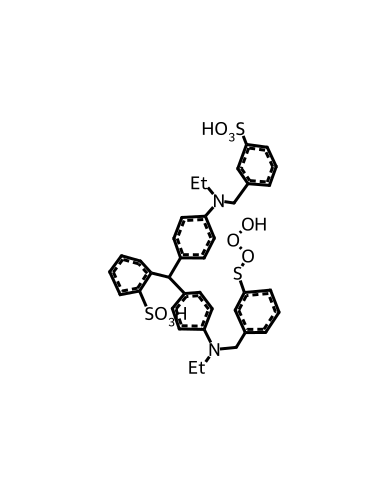 CCN(Cc1cccc(SOOO)c1)c1ccc(C(c2ccc(N(CC)Cc3cccc(S(=O)(=O)O)c3)cc2)c2ccccc2S(=O)(=O)O)cc1